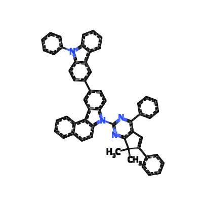 CC1(C)C(c2ccccc2)=Cc2c(-c3ccccc3)nc(-n3c4ccc(-c5ccc6c(c5)c5ccccc5n6-c5ccccc5)cc4c4c5ccccc5ccc43)nc21